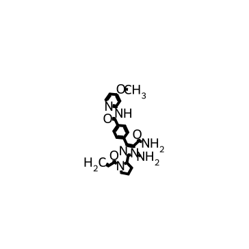 C=CC(=O)N1CCCC1c1nc(-c2ccc(C(=O)Nc3cc(OC)ccn3)cc2)c(C(N)=O)n1N